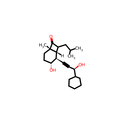 CC(C)CC1C(=O)[C@@]2(C)CC[C@@H](O)[C@H](C#C[C@@H](O)C3CCCCC3)[C@@H]12